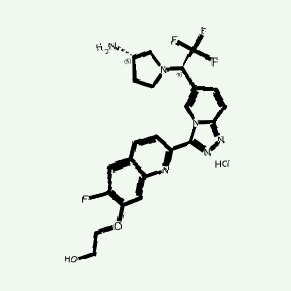 Cl.N[C@H]1CCN([C@H](c2ccc3nnc(-c4ccc5cc(F)c(OCCO)cc5n4)n3c2)C(F)(F)F)C1